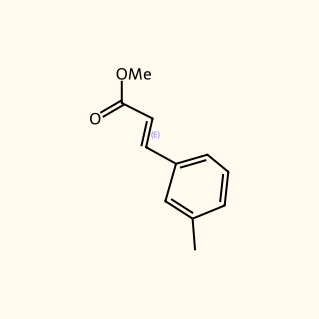 COC(=O)/C=C/c1cccc(C)c1